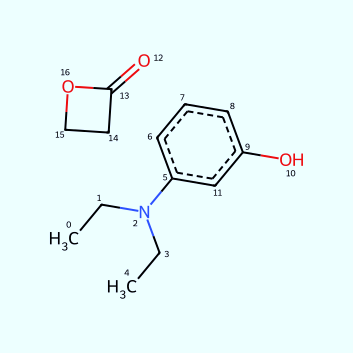 CCN(CC)c1cccc(O)c1.O=C1CCO1